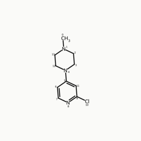 CN1CCN(c2ccnc(Cl)c2)CC1